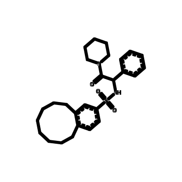 O=C(C(NS(=O)(=O)c1ccc2c(c1)CCCCCCCC2)c1ccccc1)N1CCCCC1